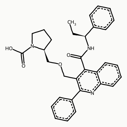 CC[C@H](NC(=O)c1c(COC[C@@H]2CCCN2C(=O)O)c(-c2ccccc2)nc2ccccc12)c1ccccc1